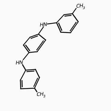 Cc1ccc(Nc2ccc(Nc3cccc(C)c3)cc2)cc1